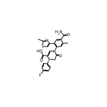 Cc1nc(-c2cc(C(N)=O)c(C)cc2N2C=C(C(=O)O)[C@H](c3ccc(F)cc3)CC2=O)cs1